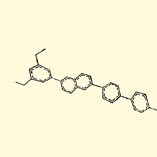 CCc1cc(CC)cc(-c2ccc3cc(-c4ccc(-c5ccc(C)cc5)cc4)ccc3c2)c1